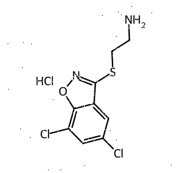 Cl.NCCSc1noc2c(Cl)cc(Cl)cc12